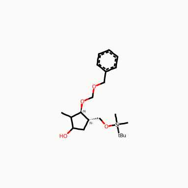 CC1C(O)C[C@@H](CO[Si](C)(C)C(C)(C)C)[C@@H]1OCOCc1ccccc1